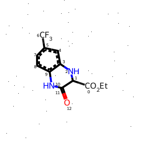 CCOC(=O)C1Nc2cc(C(F)(F)F)ccc2NC1=O